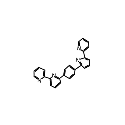 c1ccc(-c2cccc(-c3ccc(-c4cccc(-c5ccccn5)n4)cc3)n2)nc1